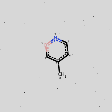 Cc1cbncc1